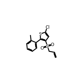 C=CCS(=O)(=O)c1cc(Cl)sc1-c1ccccc1C